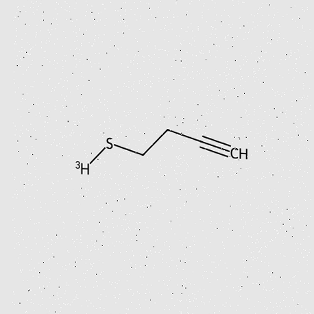 [3H]SCCC#C